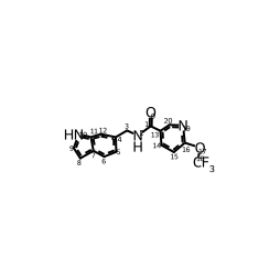 O=C(NCc1ccc2cc[nH]c2c1)c1ccc(OC(F)(F)F)nc1